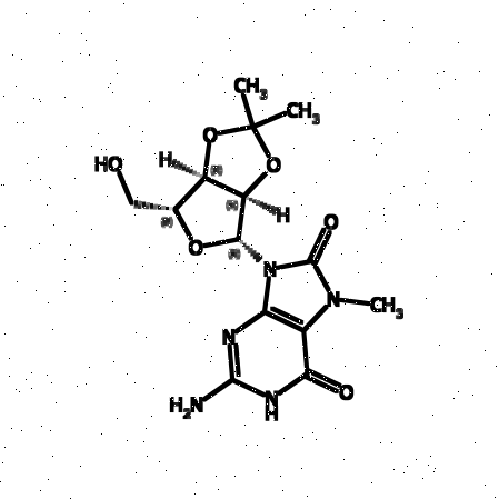 Cn1c(=O)n([C@@H]2O[C@H](CO)[C@H]3OC(C)(C)O[C@H]32)c2nc(N)[nH]c(=O)c21